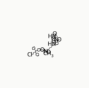 CN(CCOc1ccc(C(=C(CCCl)c2ccccc2)c2ccccc2)cc1)C(=O)CCCCCCNc1cccc2c1C(=O)N(C1CCC(=O)NC1=O)C2=O